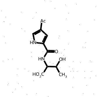 CC(=O)c1c[nH]c(C(=O)NC(C(=O)O)C(C)O)c1